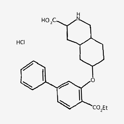 CCOC(=O)c1ccc(-c2ccccc2)cc1OC1CCC2CNC(C(=O)O)CC2C1.Cl